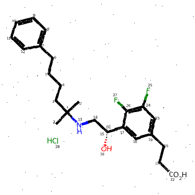 CC(C)(CCCCc1ccccc1)NC[C@@H](O)c1cc(CCC(=O)O)cc(F)c1F.Cl